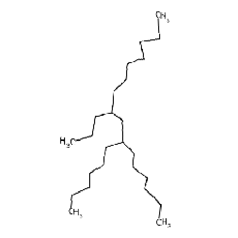 CCCCCCCC(CCC)CC(CCCCCC)CCCCCC